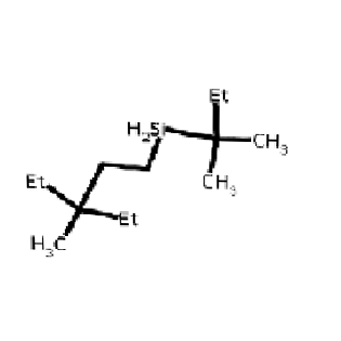 CCC(C)(CC)CC[SiH2]C(C)(C)CC